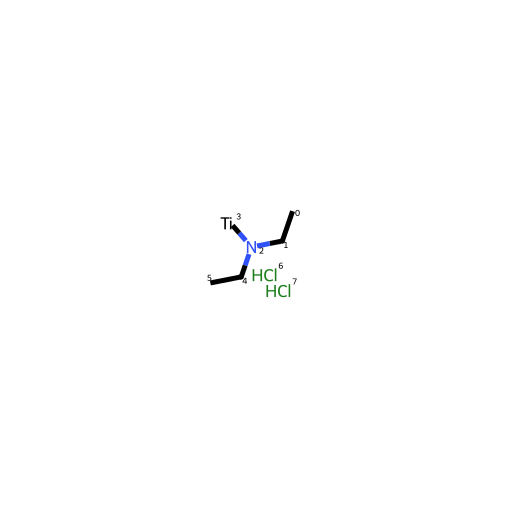 CC[N]([Ti])CC.Cl.Cl